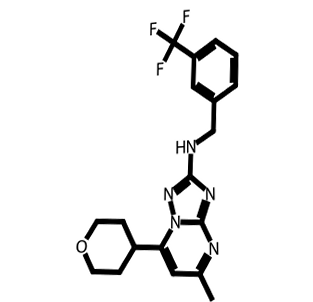 Cc1cc(C2CCOCC2)n2nc(NCc3cccc(C(F)(F)F)c3)nc2n1